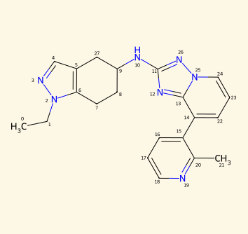 CCn1ncc2c1CCC(Nc1nc3c(-c4cccnc4C)cccn3n1)C2